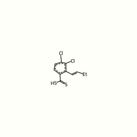 CC/C=C/c1c(C(=S)S)ccc(Cl)c1Cl